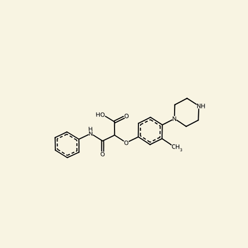 Cc1cc(OC(C(=O)O)C(=O)Nc2ccccc2)ccc1N1CCNCC1